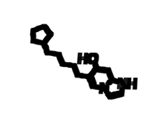 OC1=CC2NC=CN2C=C1CCCCCC1CCCC1